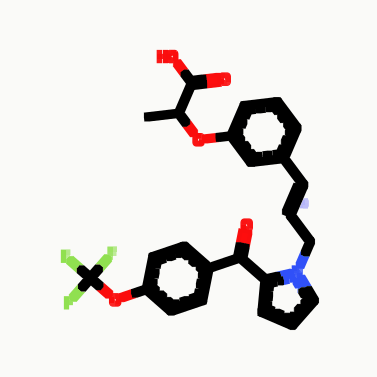 CC(Oc1cccc(/C=C/Cn2cccc2C(=O)c2ccc(OC(F)(F)F)cc2)c1)C(=O)O